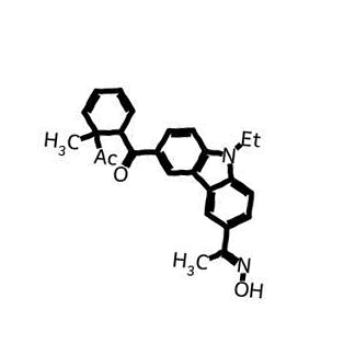 CCn1c2ccc(C(=O)C3C=CC=CC3(C)C(C)=O)cc2c2cc(C(C)=NO)ccc21